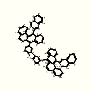 c1ccc2cc(-c3c4ccccc4c(-c4ccc5sc6ccc(-c7c8ccccc8c(-c8ccc9ccccc9c8)c8c7ccc7ccccc78)cc6c5c4)c4ccc5ccccc5c34)ccc2c1